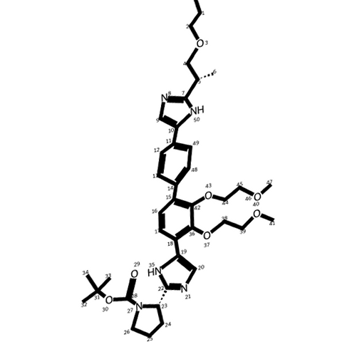 CCCOC[C@H](C)c1ncc(-c2ccc(-c3ccc(-c4cnc([C@@H]5CCCN5C(=O)OC(C)(C)C)[nH]4)c(OCCOC)c3OCCOC)cc2)[nH]1